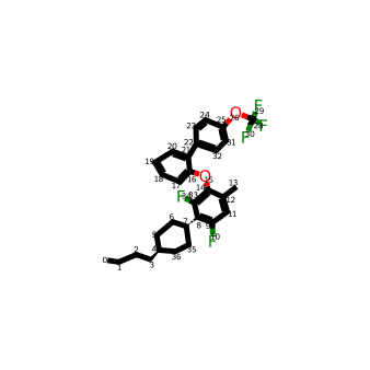 CCCC[C@H]1CC[C@H](c2c(F)cc(C)c(Oc3ccccc3-c3ccc(OC(F)(F)F)cc3)c2F)CC1